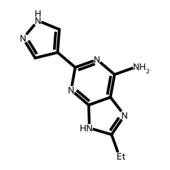 CCc1nc2c(N)nc(-c3cn[nH]c3)nc2[nH]1